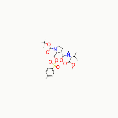 COC(=O)[C@H](C(C)C)N(C)C(=O)[C@H]1CCN(C(=O)OC(C)(C)C)[C@@H]1COS(=O)(=O)c1ccc(C)cc1